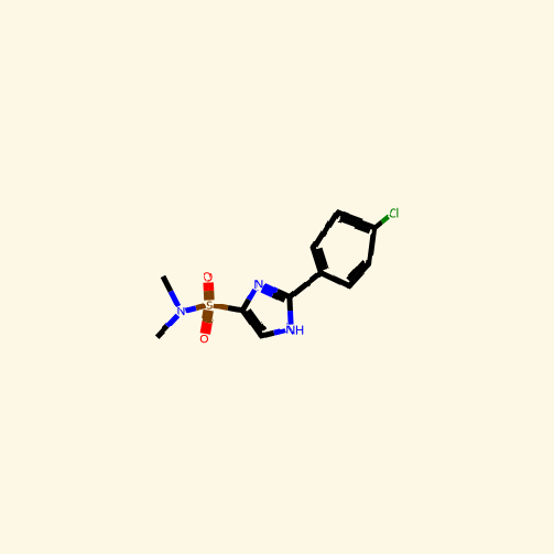 CN(C)S(=O)(=O)c1c[nH]c(-c2ccc(Cl)cc2)n1